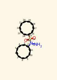 NN(c1ccccccccc1)S(=O)(=O)c1ccccccccc1